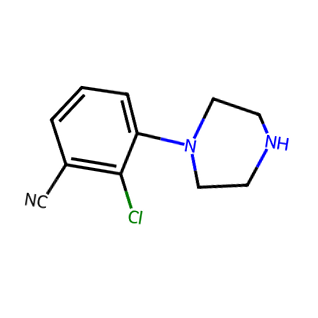 N#Cc1cccc(N2CCNCC2)c1Cl